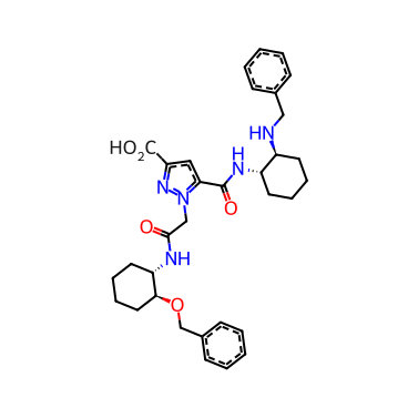 O=C(Cn1nc(C(=O)O)cc1C(=O)N[C@H]1CCCC[C@@H]1NCc1ccccc1)N[C@H]1CCCC[C@@H]1OCc1ccccc1